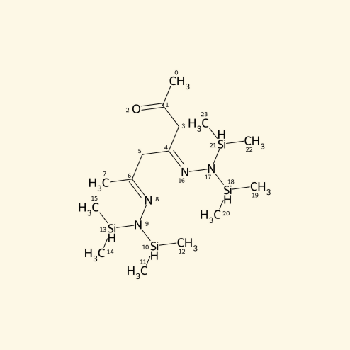 CC(=O)CC(CC(C)=NN([SiH](C)C)[SiH](C)C)=NN([SiH](C)C)[SiH](C)C